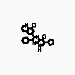 O=c1c(C2CCCC2)c[nH]c2nc(-c3ccccc3)c(-c3cc(Cl)c4ncccc4c3)nc12